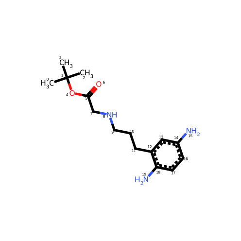 CC(C)(C)OC(=O)CNCCCc1cc(N)ccc1N